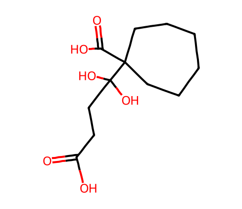 O=C(O)CCC(O)(O)C1(C(=O)O)CCCCCC1